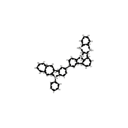 c1ccc(-n2c3ccc(-c4ccc5c(c4)c4cccc6c7nc8ccccc8nc7n5c46)cc3c3cc4ccccc4cc32)cc1